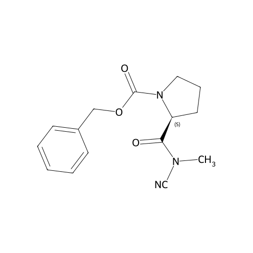 CN(C#N)C(=O)[C@@H]1CCCN1C(=O)OCc1ccccc1